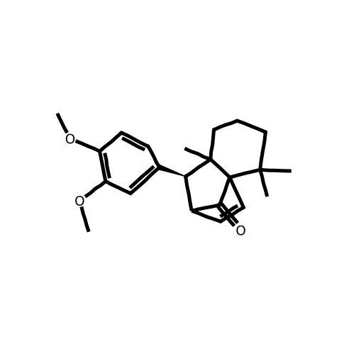 COc1ccc([C@@H]2C3C=CC4(C3=O)C(C)(C)CCCC24C)cc1OC